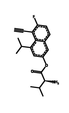 C#Cc1c(F)ccc2cc(OC(=O)[C@@H](N)C(C)C)cc(C(C)C)c12